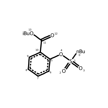 CCCCS(=O)(=O)Oc1ccccc1C(=O)OCC(C)C